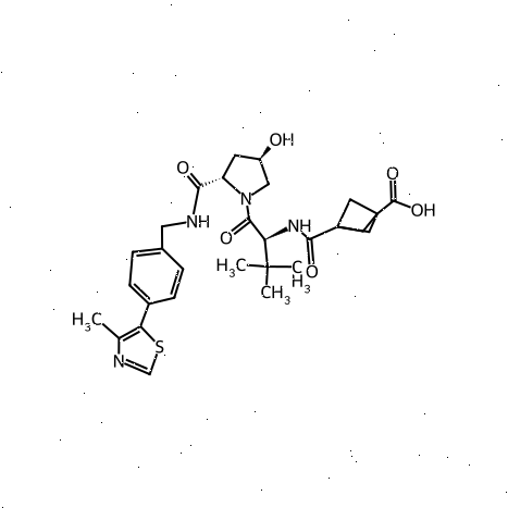 Cc1ncsc1-c1ccc(CNC(=O)[C@@H]2C[C@@H](O)CN2C(=O)[C@@H](NC(=O)C23CC(C(=O)O)(C2)C3)C(C)(C)C)cc1